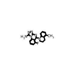 Cc1cccc2c1CCCN2c1nc2nnc(N)n2c2cccc(F)c12